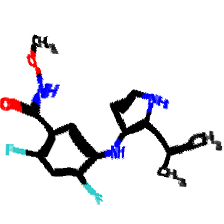 CONC(=O)c1cc(Nc2cc[nH]c2C(C)C)c(F)cc1F